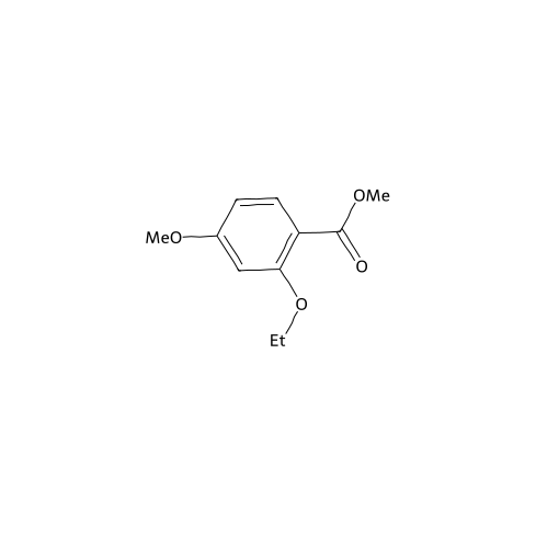 CCOc1cc(OC)ccc1C(=O)OC